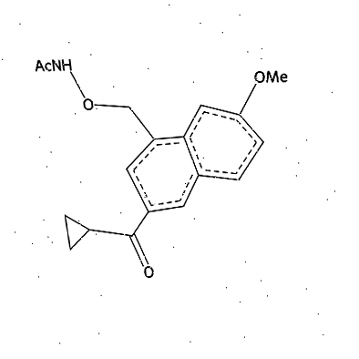 COc1ccc2cc(C(=O)C3CC3)cc(CONC(C)=O)c2c1